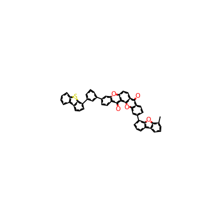 Cc1cccc2c1oc1c(-c3ccc4c(=O)c5ccc6oc7cc(-c8cccc(-c9cccc%10c9sc9ccccc9%10)c8)ccc7c(=O)c6c5oc4c3)cccc12